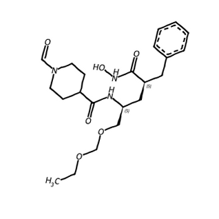 CCOCOC[C@H](C[C@H](Cc1ccccc1)C(=O)NO)NC(=O)C1CCN(C=O)CC1